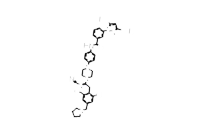 Cc1cc(C)n(-c2cccc(C(=O)Nc3ccc(N4CCN(/C(Cc5c(Cl)cc(CN6CCCC6)cc5Cl)=N\C#N)CC4)cc3)c2)n1